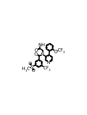 CS(=O)(=O)c1cc(C(=O)N(CC(N)=O)c2cnccc2-c2ccccc2OC(F)(F)F)cc(C(F)(F)F)c1